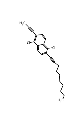 CC#Cc1ccc2c(Cl)c(C#CCCCCCCCC)ccc2c1Cl